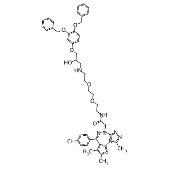 Cc1sc2c(c1C)C(c1ccc(Cl)cc1)=N[C@@H](CC(=O)NCCOCCOCCNCC(O)COc1ccc(OCc3ccccc3)c(OCc3ccccc3)c1)c1nnc(C)n1-2